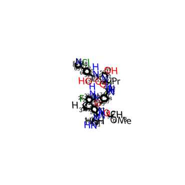 CO[C@@H](C)COc1nc(N2C[C@@H]3C[C@H]2CN3)c2cc(C3CC3)c(-c3c(C)c(F)cc4[nH]ncc34)c(OCc3ccc(-c4cn([C@H](C(=O)N5C[C@H](O)C[C@H]5C(=O)N[C@@H](CO)c5ccc(-c6cccnc6Cl)cc5)C(C)C)nn4)cc3)c2n1